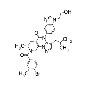 Cc1cc(C(=O)N2Cc3c(c(=O)n(-c4ccc5c(c4)ncn5CCO)c4c(CC(C)C)cnn34)CC2C)ccc1Br